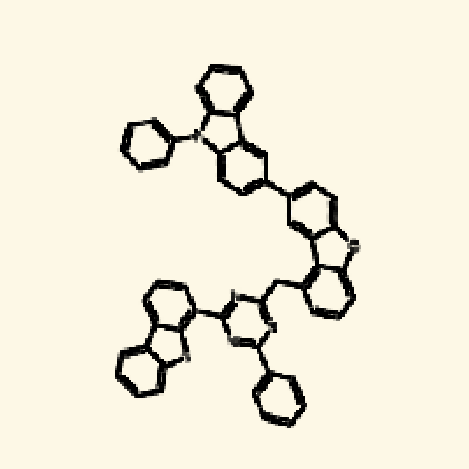 c1ccc(-c2nc(Cc3cccc4oc5ccc(-c6ccc7c(c6)c6ccccc6n7-c6ccccc6)cc5c34)nc(-c3cccc4c3sc3ccccc34)n2)cc1